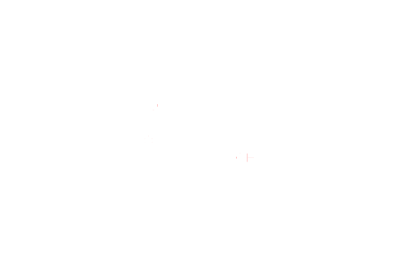 OCCC1OCO1